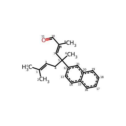 CC(C)=CCC(C)(/C=C(\C)C=O)c1ccc2ccccc2c1